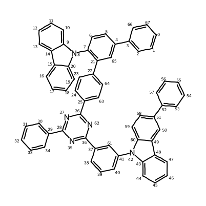 c1ccc(-c2ccc(-n3c4ccccc4c4ccccc43)c(-c3ccc(-c4nc(-c5ccccc5)nc(-c5cccc(-n6c7ccccc7c7cc(-c8ccccc8)ccc76)c5)n4)cc3)c2)cc1